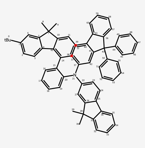 CC(C)(C)c1ccc2c(c1)C(C)(C)c1cccc(-c3ccccc3N(c3ccc4c(c3)C(C)(C)c3ccccc3-4)c3ccc4c(c3)C(c3ccccc3)(c3ccccc3)c3ccccc3-4)c1-2